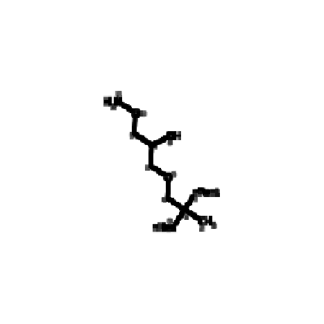 CCCCCCC(C)(CCCCC)COCC(O)CON